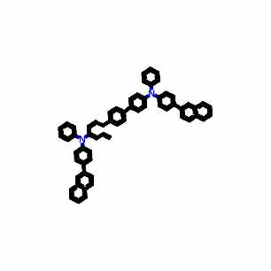 C=C/C=C(\C=C/Cc1ccc(-c2ccc(N(c3ccccc3)c3ccc(-c4ccc5ccccc5c4)cc3)cc2)cc1)N(c1ccccc1)c1ccc(-c2ccc3ccccc3c2)cc1